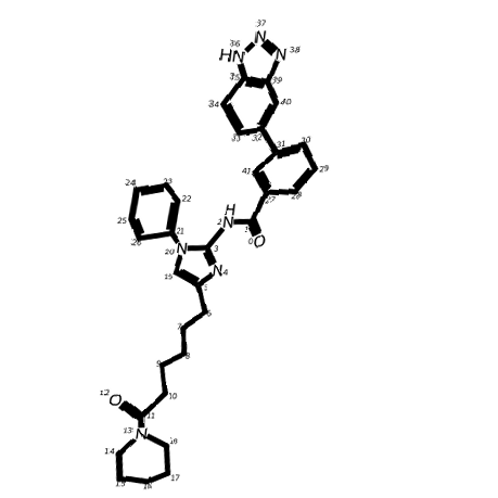 O=C(Nc1nc(CCCCCC(=O)N2CCCCC2)cn1-c1ccccc1)c1cccc(-c2ccc3[nH]nnc3c2)c1